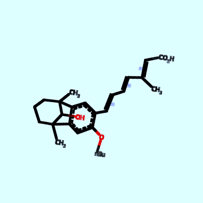 CCCCOc1cc2c(cc1/C=C/C=C/C(C)=C/C(=O)O)C1(C)CCCC2(C)C1O